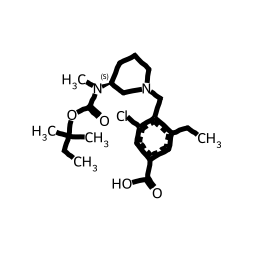 CCc1cc(C(=O)O)cc(Cl)c1CN1CCC[C@H](N(C)C(=O)OC(C)(C)CC)C1